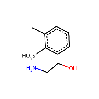 Cc1ccccc1S(=O)(=O)O.NCCO